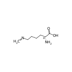 C=NCCCC[C@@H](N)C(=O)O